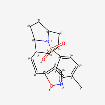 Cc1ccc(S(=O)(=O)N2C3CCCC(/C=C\c4ccno4)C2CC3)cc1